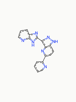 c1ccc(-c2ccc3[nH]nc(-c4nc5cccnc5[nH]4)c3n2)nc1